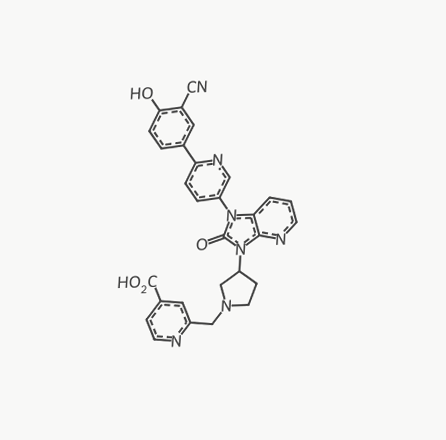 N#Cc1cc(-c2ccc(-n3c(=O)n(C4CCN(Cc5cc(C(=O)O)ccn5)C4)c4ncccc43)cn2)ccc1O